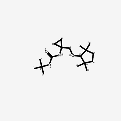 CC(C)(C)OC(=O)NC1(COC2C(C)(C)CCC2(C)C)CC1